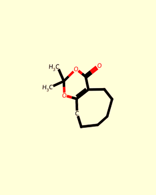 CC1(C)OC(=O)C2=C(CCCCCC2)O1